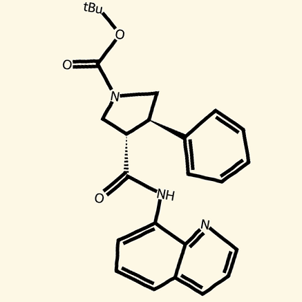 CC(C)(C)OC(=O)N1C[C@@H](C(=O)Nc2cccc3cccnc23)[C@H](c2ccccc2)C1